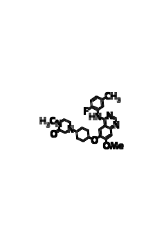 COc1cc2ncnc(Nc3cc(C)ccc3F)c2cc1OC1CCC(N2CCN(C)C(=O)C2)CC1